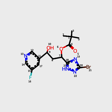 CC(C)(C)C(=O)OC(CC(O)c1cncc(F)c1)c1nc(Br)n[nH]1